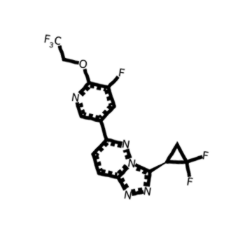 Fc1cc(-c2ccc3nnc([C@H]4CC4(F)F)n3n2)cnc1OCC(F)(F)F